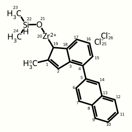 CC1=Cc2c(-c3ccc4ccccc4c3)cccc2[CH]1[Zr+2][O][SiH](C)C.[Cl-].[Cl-]